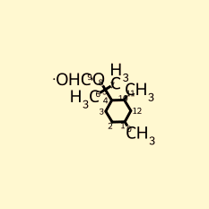 CC1CCC(C(C)(C)O[C]=O)C(C)C1